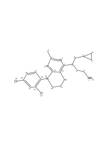 Cc1nc(C(CCN)CC2CC2)c2c(n1)N(c1ccc(Cl)cc1Cl)CCC2